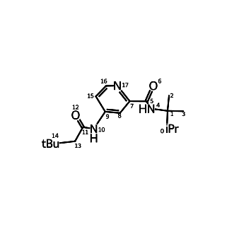 CC(C)C(C)(C)NC(=O)c1cc(NC(=O)CC(C)(C)C)ccn1